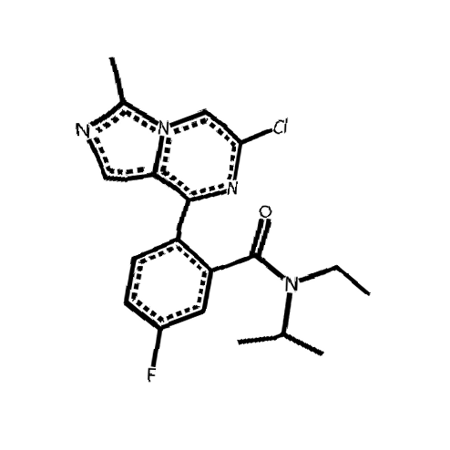 CCN(C(=O)c1cc(F)ccc1-c1nc(Cl)cn2c(C)ncc12)C(C)C